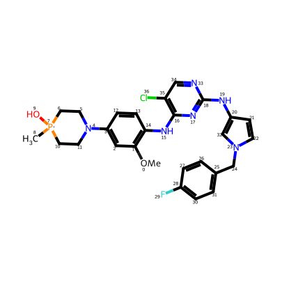 COc1cc(N2CC[P](C)(O)CC2)ccc1Nc1nc(Nc2ccn(Cc3ccc(F)cc3)c2)ncc1Cl